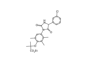 CCOC(=O)C(C)(C)Oc1c(C)cc(N2C(=O)NC(c3cccc(Cl)c3)C2=O)c(C)c1C